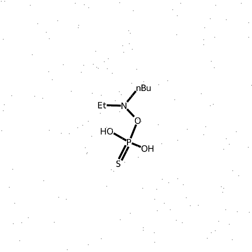 CCCCN(CC)OP(O)(O)=S